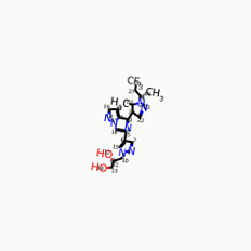 CC1C(c2nc(-c3cnn(C[C@@H](O)CO)c3)cn3nccc23)C=NN1[C@@H](C)CC(F)(F)F